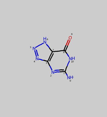 [NH]c1nc2nn[nH]c2c(=O)[nH]1